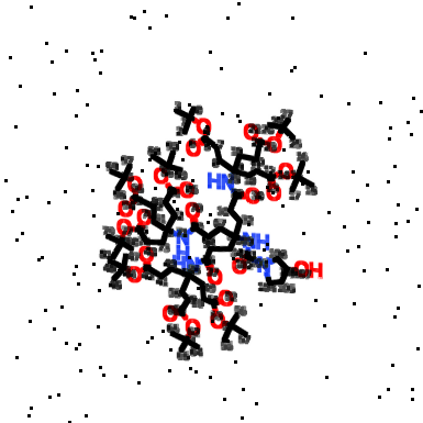 CC(C)(C)OC(=O)CCC(CCC(=O)OC(C)(C)C)(CCC(=O)OC(C)(C)C)NC(=O)CCC(CCC(=O)NC(CCC(=O)OC(C)(C)C)(CCC(=O)OC(C)(C)C)CCC(=O)OC(C)(C)C)(CCC(=O)NC(CCC(=O)OC(C)(C)C)(CCC(=O)OC(C)(C)C)CCC(=O)OC(C)(C)C)NC(=O)N1CC[C@@H](O)C1